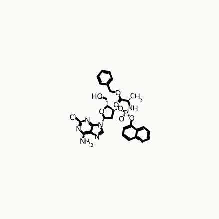 C[C@H](NP(=O)(Oc1cccc2ccccc12)O[C@@H]1C[C@H](n2cnc3c(N)nc(Cl)nc32)O[C@@H]1CO)C(=O)OCc1ccccc1